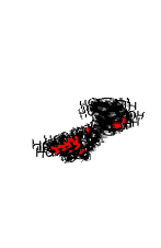 CC[C@H](C)[C@H](C[C@H](O)CC(=O)O[C@H]1C(C)O[C@@H](OC(=O)[C@]23CCC(C)(C)CC2C2=CCC4C5(C)CC[C@H](O[C@@H]6OC[C@@H](O)[C@H](O[C@@H]7OC[C@@H](O)[C@H](O)C7O)C6O[C@@H]6OC(CO)[C@H](O)[C@H](O)C6O)[C@](C)(C=O)[C@@H]5CC[C@]4(C)[C@]2(C)CC3O)C(O[C@@H]2OC(C)[C@H](O[C@@H]3OC[C@@H](O)C(O[C@@H]4OC[C@@H](O)C(O)C4O)C3O)C(O)C2O)C1O)OC(=O)C[C@@H](O)C[C@H](O[C@@H]1O[C@H](CO)C(O)C1O)[C@@H](C)CC